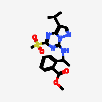 COC(=O)c1ccccc1C(C)Nc1nc(S(C)(=O)=O)nc2c(C(C)C)cnn12